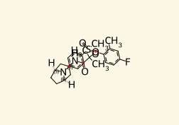 Cc1cc(F)ccc1OC(C)(C)C(=O)N[C@H]1C[C@H]2CC[C@@H](C1)N2c1ccc(S(C)(=O)=O)cc1